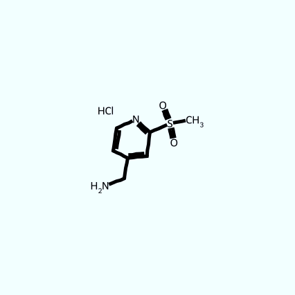 CS(=O)(=O)c1cc(CN)ccn1.Cl